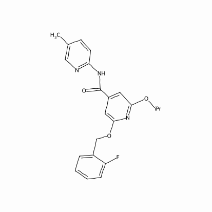 Cc1ccc(NC(=O)c2cc(OCc3ccccc3F)nc(OC(C)C)c2)nc1